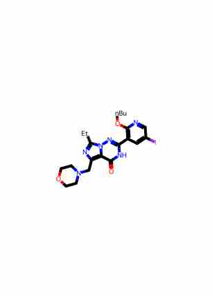 CCCCOc1ncc(I)cc1-c1nn2c(CC)nc(CN3CCOCC3)c2c(=O)[nH]1